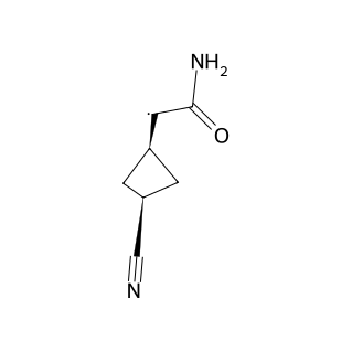 N#C[C@H]1C[C@@H]([CH]C(N)=O)C1